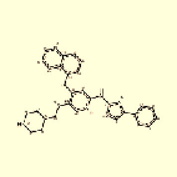 c1ccc(-c2csc(Nc3cc(Cc4cccc5ncccc45)c(SCC4CCNCC4)cn3)n2)cc1